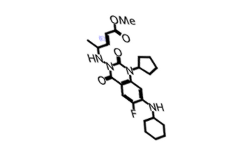 COC(=O)/C=C/C(C)Nn1c(=O)c2cc(F)c(NC3CCCCC3)cc2n(C2CCCC2)c1=O